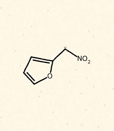 O=[N+]([O-])[C]c1ccco1